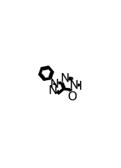 O=c1c2cnn(-c3ccccc3)c2ncn1I